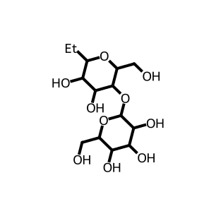 CCC1OC(CO)C(OC2OC(CO)C(O)C(O)C2O)C(O)C1O